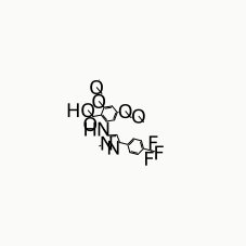 COCOc1cc(Nc2cc(-c3ccc(C(F)(F)F)cc3)nn2C)c(C(=O)O)c(OCOC)c1